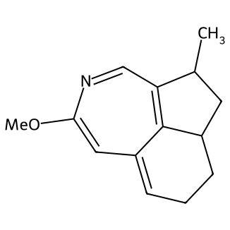 COC1=CC2=CCCC3CC(C)C(=C23)C=N1